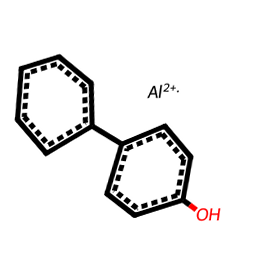 Oc1ccc(-c2ccccc2)cc1.[Al+2]